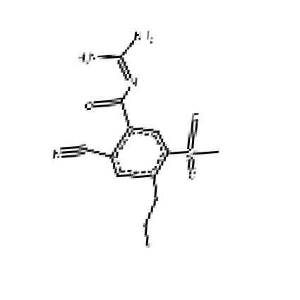 CCCc1cc(C#N)c(C(=O)N=C(N)N)cc1S(C)(=O)=O